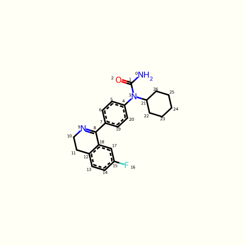 NC(=O)N(c1ccc(C2=NCCc3ccc(F)cc32)cc1)C1CCCCC1